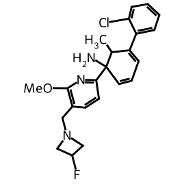 COc1nc(C2(N)C=CC=C(c3ccccc3Cl)C2C)ccc1CN1CC(F)C1